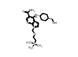 C[Si](C)(C)CCOCn1ccc2c(N[C@H]3CC[C@H](CO)CC3)c(C(N)=O)cnc21